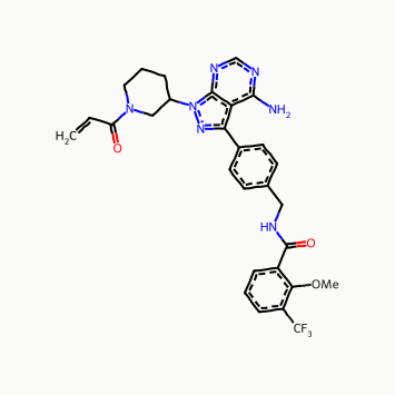 C=CC(=O)N1CCCC(n2nc(-c3ccc(CNC(=O)c4cccc(C(F)(F)F)c4OC)cc3)c3c(N)ncnc32)C1